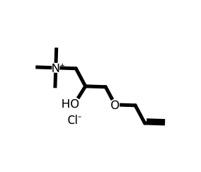 C=CCOCC(O)C[N+](C)(C)C.[Cl-]